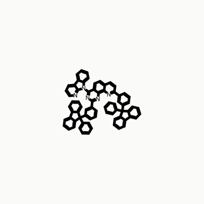 c1ccc(C2(c3cccc(-c4ccc5ccc6c(-n7c8ccccc8c8cccnc87)nc(-c7cccc(C8(c9ccccc9)c9ccccc9-c9ccccc98)c7)nc6c5n4)c3)c3ccccc3-c3ccccc32)cc1